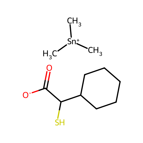 O=C([O-])C(S)C1CCCCC1.[CH3][Sn+]([CH3])[CH3]